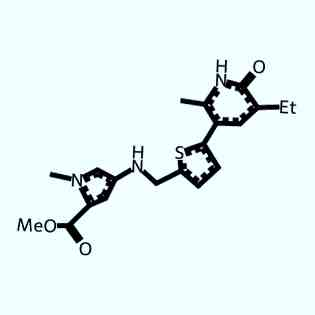 CCc1cc(-c2ccc(CNc3cc(C(=O)OC)n(C)c3)s2)c(C)[nH]c1=O